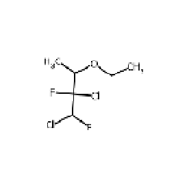 CCOC(C)C(F)(Cl)C(F)Cl